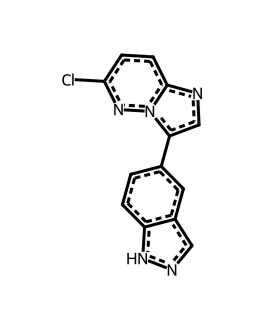 Clc1ccc2ncc(-c3ccc4[nH]ncc4c3)n2n1